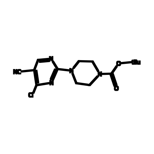 CC(C)(C)OC(=O)N1CCN(c2ncc(C#N)c(Cl)n2)CC1